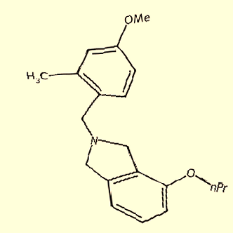 CCCOc1cccc2c1CN(Cc1ccc(OC)cc1C)C2